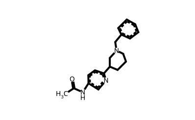 CC(=O)Nc1ccc(C2CCCN(Cc3ccccc3)C2)nc1